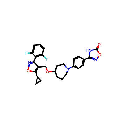 O=c1[nH]c(-c2ccc(N3CCCC(OCc4c(-c5c(F)cccc5F)noc4C4CC4)CC3)cc2)no1